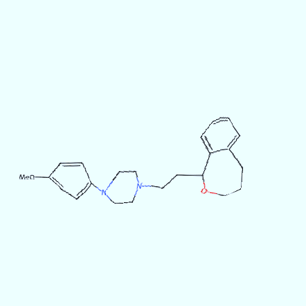 COc1ccc(N2CCN(CCC3OCCCc4ccccc43)CC2)cc1